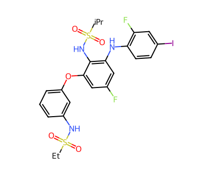 CCS(=O)(=O)Nc1cccc(Oc2cc(F)cc(Nc3ccc(I)cc3F)c2NS(=O)(=O)C(C)C)c1